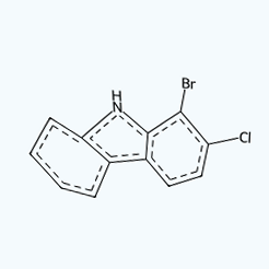 Clc1ccc2c([nH]c3ccccc32)c1Br